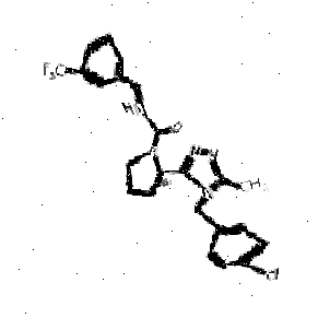 Cc1nnc([C@H]2CCCN2C(=O)NCc2cccc(C(F)(F)F)c2)n1Cc1ccc(Cl)cc1